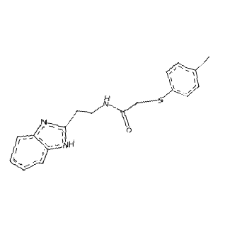 Cc1ccc(SCC(=O)NCCc2nc3ccccc3[nH]2)cc1